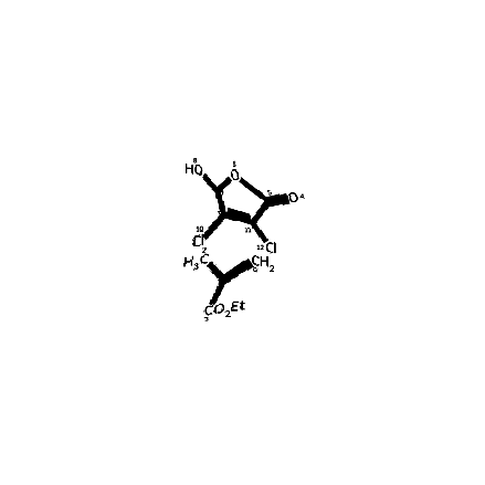 C=C(C)C(=O)OCC.O=C1OC(O)C(Cl)=C1Cl